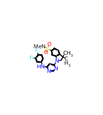 CNS(=O)(=O)c1ccc2c(c1)N(c1cc(Nc3ccc(F)c(F)c3)ncn1)CC2(C)C